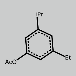 [CH2]C(C)c1cc(CC)cc(OC(C)=O)c1